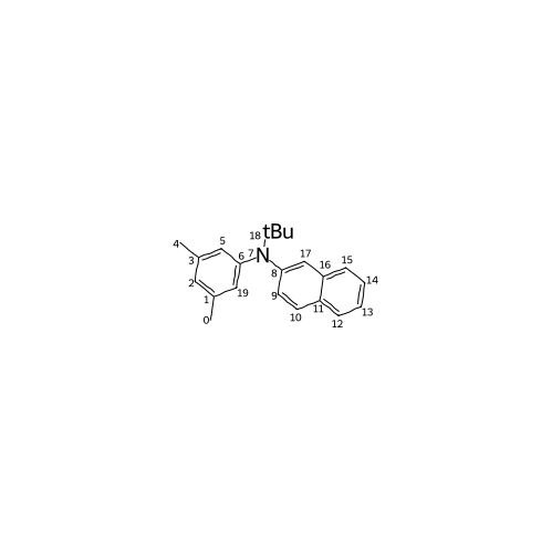 Cc1cc(C)cc(N(c2ccc3ccccc3c2)C(C)(C)C)c1